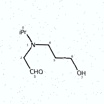 CC(C)N(CC=O)CCCO